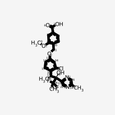 COc1cc(C(=O)O)ccc1COc1ccc([C@@H](C)[C@@](O)(c2cnc(C)cn2)C(C)(F)F)c(Cl)c1